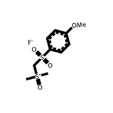 COc1ccc(S(=O)(=O)C[S+](C)(C)=O)cc1.[F-]